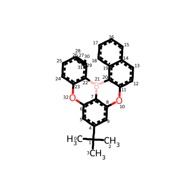 CC(C)(C)c1cc2c3c(c1)Oc1ccc4ccccc4c1B3c1c(ccc3ccccc13)O2